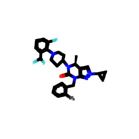 C[C@H]1c2cn(C3CC3)nc2N(Cc2ccccc2C(F)(F)F)C(=O)N1C1CCN(c2c(F)cccc2C(F)F)CC1